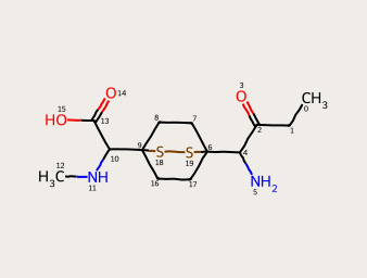 CCC(=O)C(N)C12CCC(C(NC)C(=O)O)(CC1)SS2